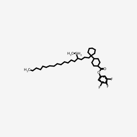 CCCCCCCCCCCCCCC(CCCC1(C2CCC(C(=O)Oc3cc(F)c(F)c(F)c3)CC2)CCCCC1)[SiH2]C